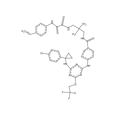 C=Cc1ccc(NC(=O)C(=O)NCC(C)(C)CNC(=O)c2ccc(Nc3nc(NC4(c5ccc(Cl)cc5)CC4)nc(OCC(F)(F)F)n3)cc2)cc1